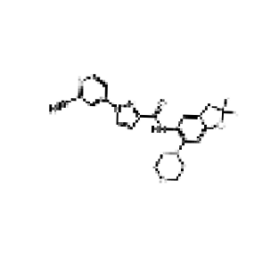 CC1(C)Cc2cc(NC(=O)c3ccn(-c4ccnc(C#N)c4)n3)c(N3CCOCC3)cc2O1